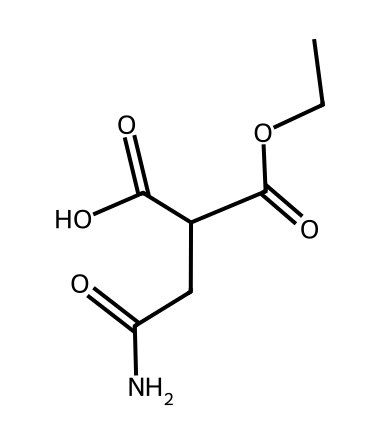 CCOC(=O)C(CC(N)=O)C(=O)O